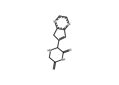 C=C1CNC(C2=Cc3nccnc3C2)C(=O)N1